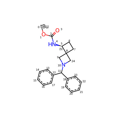 CC(C)(C)OC(=O)N[C@H]1CCC12CN(C(c1ccccc1)c1ccccc1)C2